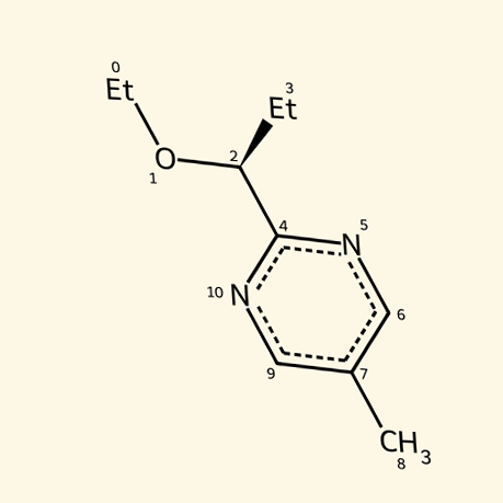 CCO[C@@H](CC)c1ncc(C)cn1